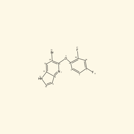 Fc1ccc(Oc2nc3cc[nH]c3cc2Br)c(F)c1